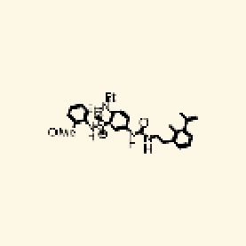 C=C(C)c1cccc(CCNC(=O)Nc2ccc(N(CC)CC)c(S(=O)(=O)Nc3ccccc3OC)c2)c1C